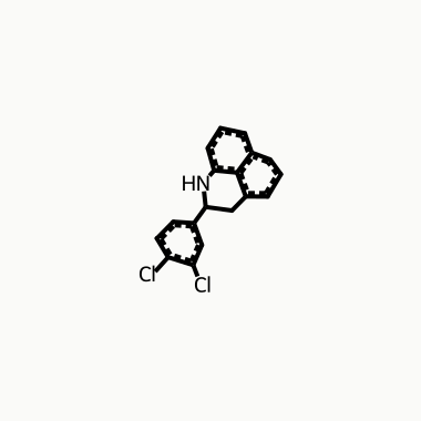 Clc1ccc(C2Cc3cccc4cccc(c34)N2)cc1Cl